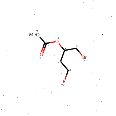 COC(=O)OC(CBr)CCBr